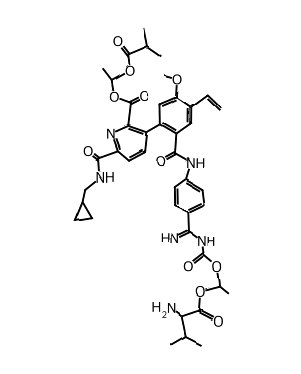 C=Cc1cc(C(=O)Nc2ccc(C(=N)NC(=O)OC(C)OC(=O)C(N)C(C)C)cc2)c(-c2ccc(C(=O)NCC3CC3)nc2C(=O)OC(C)OC(=O)C(C)C)cc1OC